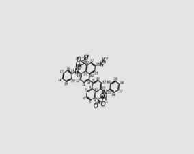 O=S(=O)([O-])c1cccc2c(-c3ccc(Nc4ccccc4)c4c(S(=O)(=O)[O-])cccc34)ccc(Nc3ccccc3)c12.[K+].[K+]